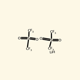 O=S(=O)(C(F)(F)F)C(F)(F)F.O=S(=O)(C(F)(F)F)C(F)(F)F.[LiH]